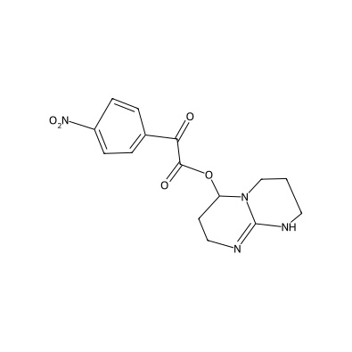 O=C(OC1CCN=C2NCCCN21)C(=O)c1ccc([N+](=O)[O-])cc1